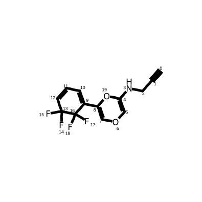 C#CCNC1=COC=C(C2=CC=CC(F)(F)C2(F)F)O1